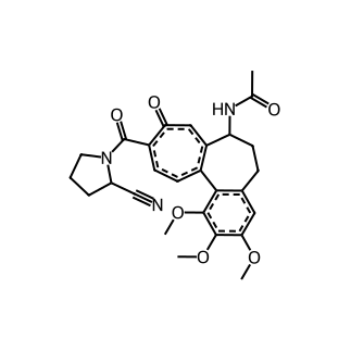 COc1cc2c(c(OC)c1OC)-c1ccc(C(=O)N3CCCC3C#N)c(=O)cc1C(NC(C)=O)CC2